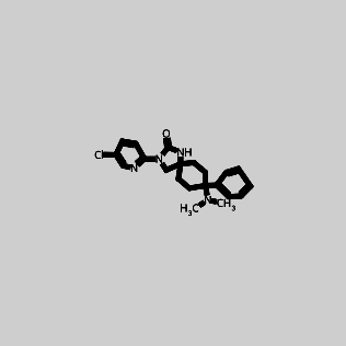 CN(C)C1(c2ccccc2)CCC2(CC1)CN(c1ccc(Cl)cn1)C(=O)N2